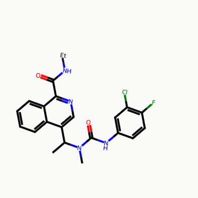 CCNC(=O)c1ncc(C(C)N(C)C(=O)Nc2ccc(F)c(Cl)c2)c2ccccc12